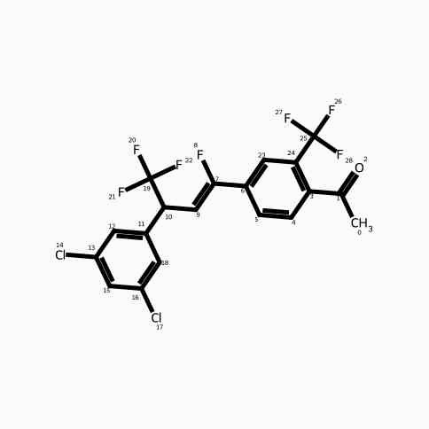 CC(=O)c1ccc(/C(F)=C/C(c2cc(Cl)cc(Cl)c2)C(F)(F)F)cc1C(F)(F)F